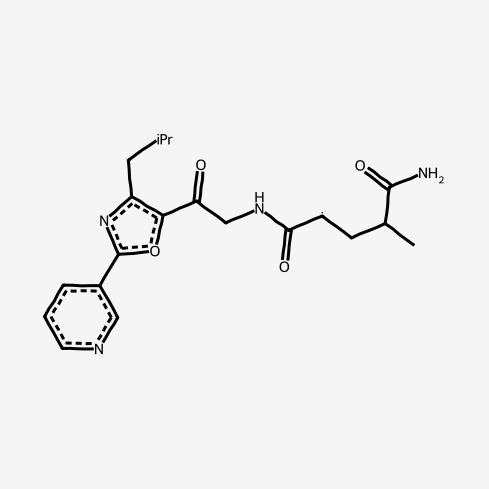 CC(C)Cc1nc(-c2cccnc2)oc1C(=O)CNC(=O)[CH]CC(C)C(N)=O